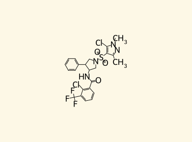 Cc1nn(C)c(Cl)c1S(=O)(=O)N1CC(NC(=O)c2cccc(C(F)(F)F)c2Cl)C(c2ccccc2)C1